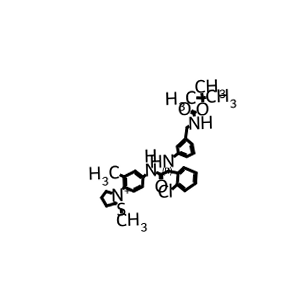 CSC1=[N+](c2ccc(NC(=O)[C@H](Nc3cccc(CNC(=O)OC(C)(C)C)c3)c3ccccc3Cl)cc2C)CCC1